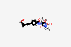 CNC(=O)C(C)(NC(=O)c1ccc(C#CC2CC2CO)cc1)C(=O)NO